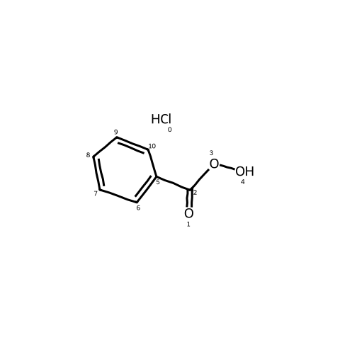 Cl.O=C(OO)c1ccccc1